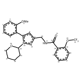 COc1ncccc1-c1cc(CNC(=O)c2ccccc2OC(F)(F)F)nn1C1CCCCO1